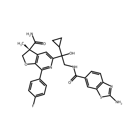 C[C@]1(C(N)=O)COc2c1cc(C(O)(CNC(=O)c1ccc3nc(N)sc3c1)C1CC1)nc2-c1ccc(F)cc1